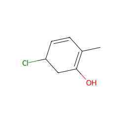 CC1=C(O)CC(Cl)C=C1